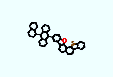 c1ccc2c(-c3c4ccccc4c(-c4ccc5oc6c(ccc7ccc8c9ccccc9sc8c76)c5c4)c4ccccc34)cccc2c1